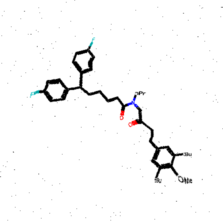 CCCN(CC(=O)CCc1cc(C(C)(C)C)c(OC)c(C(C)(C)C)c1)C(=O)CCCCC(c1ccc(F)cc1)c1ccc(F)cc1